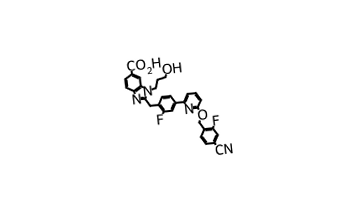 N#Cc1ccc(COc2cccc(-c3ccc(Cc4nc5ccc(C(=O)O)cc5n4CCCO)c(F)c3)n2)c(F)c1